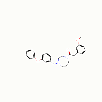 COc1cccc(CC(=O)N2CCCN(Cc3cccc(Oc4ccccc4)c3)CC2)c1